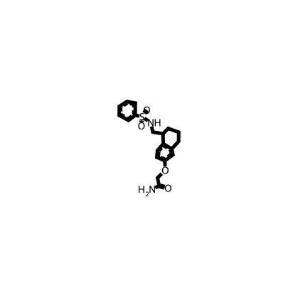 NC(=O)COc1ccc2c(c1)CCCC2CNS(=O)(=O)c1ccccc1